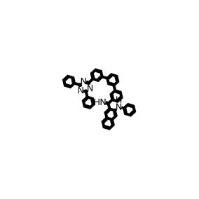 N=C(c1cccc(-c2cccc(-c3cccc(-c4nc(-c5ccccc5)nc(-c5ccccc5)n4)c3)c2)c1)c1cc2ccccc2cc1Nc1ccccc1